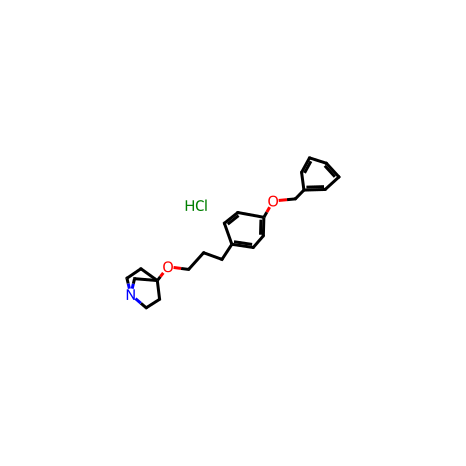 Cl.c1ccc(COc2ccc(CCCOC34CCN(CC3)C4)cc2)cc1